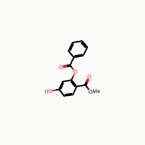 COC(=O)c1ccc(O)cc1OC(=O)c1ccccc1